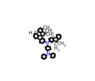 Cc1ccc(C)c2c1C(C)(C)CC21c2ccccc2-c2ccc(N(c3ccc(N(c4ccccc4)c4ccccc4)cc3)c3ccc4c(c3)C(C)(C)c3ccccc3-4)cc21